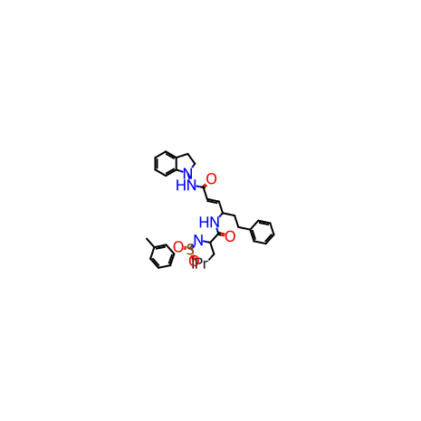 CC(C)CC(N=S(=O)=O)C(=O)NC(C=CC(=O)NN1CCc2ccccc21)CCc1ccccc1.Cc1ccccc1